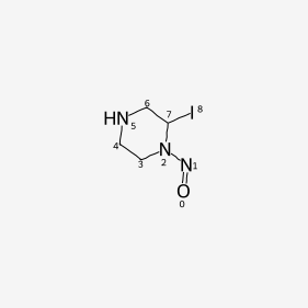 O=NN1CCNCC1I